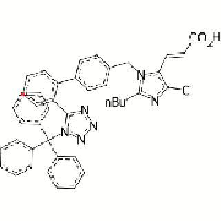 CCCCc1nc(Cl)c(C=CC(=O)O)n1Cc1ccc(-c2ccccc2-c2nnnn2C(c2ccccc2)(c2ccccc2)c2ccccc2)cc1